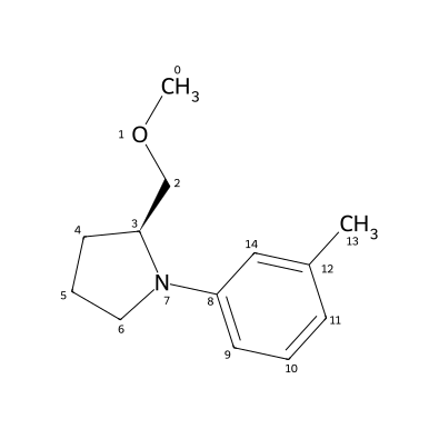 COC[C@@H]1CCCN1c1cccc(C)c1